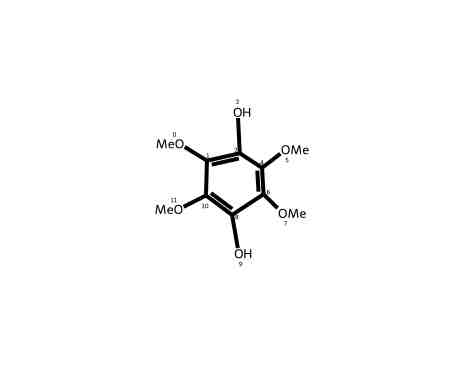 COc1c(O)c(OC)c(OC)c(O)c1OC